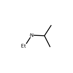 CC[N]C(C)C